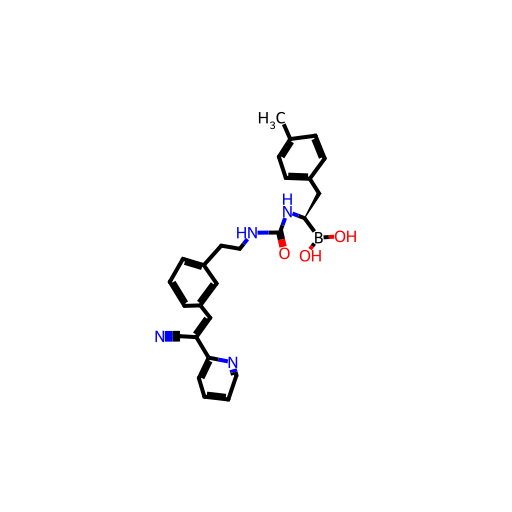 Cc1ccc(C[C@H](NC(=O)NCCc2cccc(C=C(C#N)c3ccccn3)c2)B(O)O)cc1